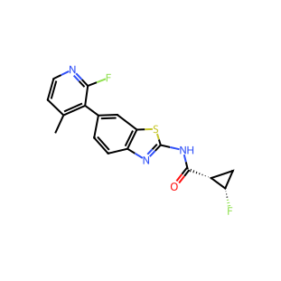 Cc1ccnc(F)c1-c1ccc2nc(NC(=O)[C@@H]3C[C@@H]3F)sc2c1